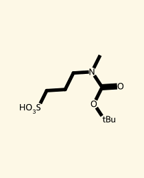 CN(CCCS(=O)(=O)O)C(=O)OC(C)(C)C